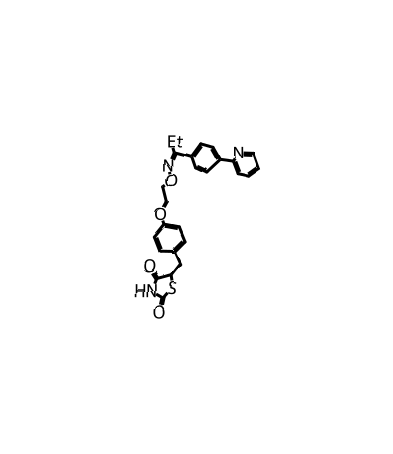 CCC(=NOCCOc1ccc(CC2SC(=O)NC2=O)cc1)c1ccc(-c2ccccn2)cc1